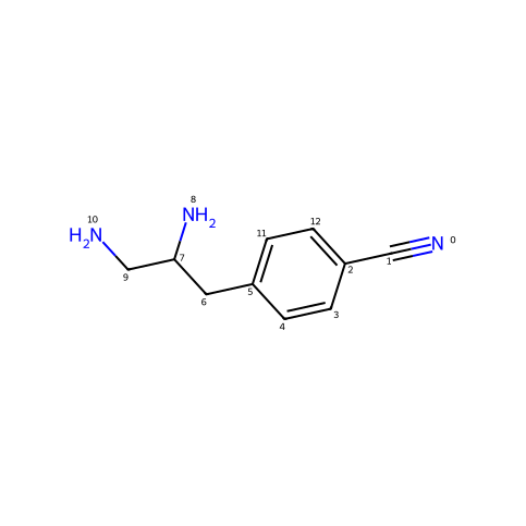 N#Cc1ccc(CC(N)CN)cc1